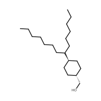 CCCCCCCC(CCCCCC)[C@H]1CC[C@H](CO)CC1